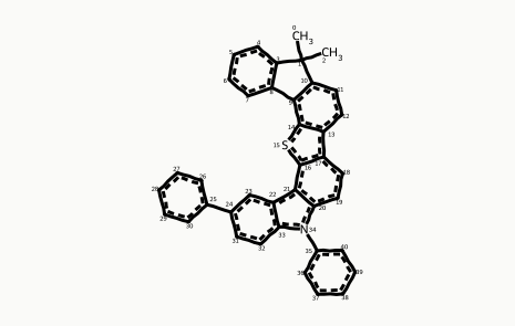 CC1(C)c2ccccc2-c2c1ccc1c2sc2c1ccc1c2c2cc(-c3ccccc3)ccc2n1-c1ccccc1